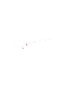 CCCCCCCCCCCC(=O)N[C@H](CC[S+](C)C)C(=O)O